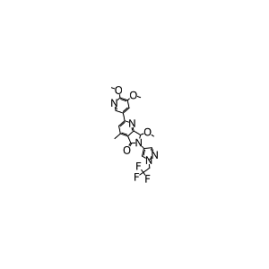 COc1cc(-c2cc(C)c3c(n2)C(OC)N(c2cnn(CC(F)(F)F)c2)C3=O)cnc1OC